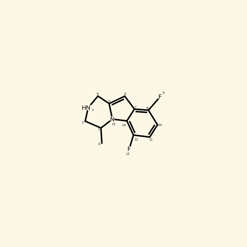 CC1CNCc2cc3c(F)ccc(F)c3n21